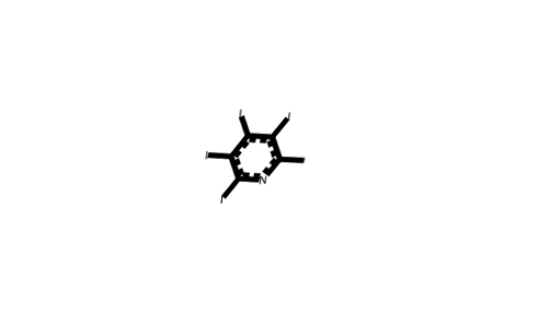 Cc1nc(I)c(I)c(I)c1I